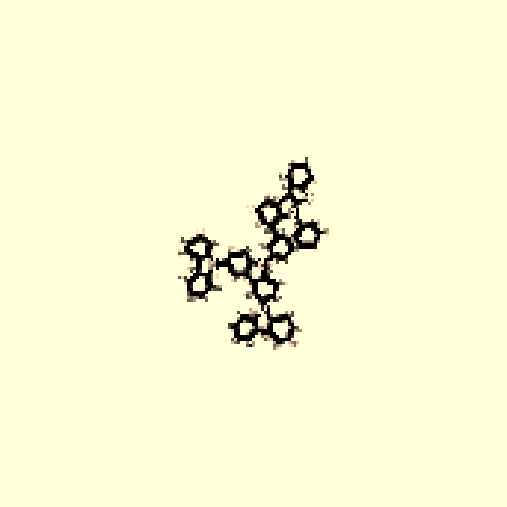 c1ccc(-n2c3oc4ccccc4c3c3cccc(-c4cccc(-n5c6ccc(-n7c8ccccc8c8ccccc87)cc6c6cc(-n7c8ccccc8c8ccccc87)ccc65)c4)c32)cc1